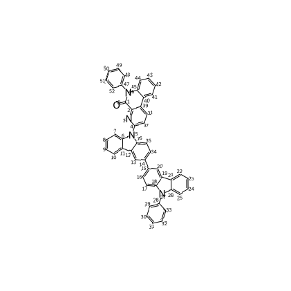 O=c1c2nc(-n3c4ccccc4c4cc(-c5ccc6c(c5)c5ccccc5n6-c5ccccc5)ccc43)ccc2c2ccccc2n1-c1ccccc1